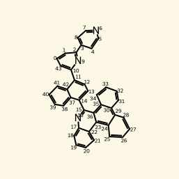 c1cc(-c2ccncc2)nc(-c2ccc(-c3nc4ccccc4c4c5ccccc5c5ccccc5c34)c3ccccc23)c1